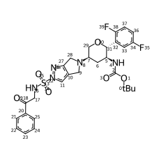 CC(C)(C)OC(=O)N[C@H]1C[C@@H](N2Cc3cn(S(=O)(=O)NCC(=O)c4ccccc4)nc3C2)CO[C@@H]1c1cc(F)ccc1F